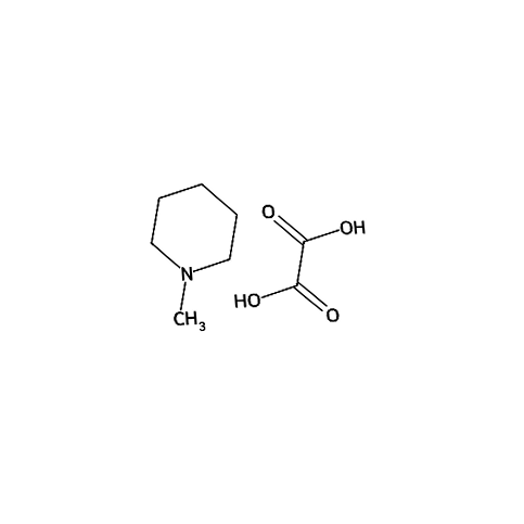 CN1CCCCC1.O=C(O)C(=O)O